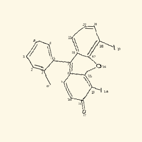 Cc1ccccc1-c1c2ccc(=O)c(I)c-2oc2c(I)cccc12